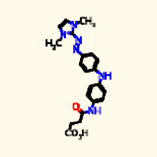 Cn1cc[n+](C)c1N=Nc1ccc(Nc2ccc(NC(=O)CCC(=O)O)cc2)cc1